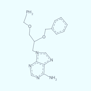 Nc1ncnc2c1ncn2CC(COCP)OCc1ccccc1